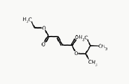 CCOC(=O)/C=C/C(=O)OC(C)C(C)C